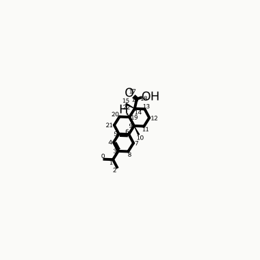 CC(C)C1=CC2=C(CC1)[C@@]1(C)CCC[C@@](C)(C(=O)O)[C@@H]1CC2